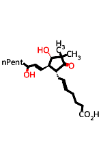 CCCCCC(O)C=C[C@@H]1[C@@H](CC=CCCCC(=O)O)C(=O)C(C)(C)[C@H]1O